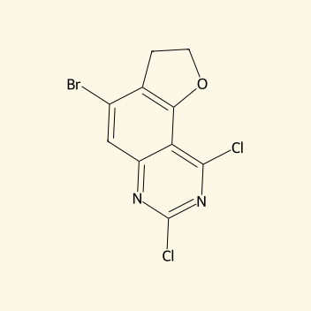 Clc1nc(Cl)c2c3c(c(Br)cc2n1)CCO3